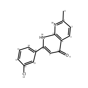 Cc1ccc2c(=O)cc(-c3cccc(Cl)c3)[nH]c2n1